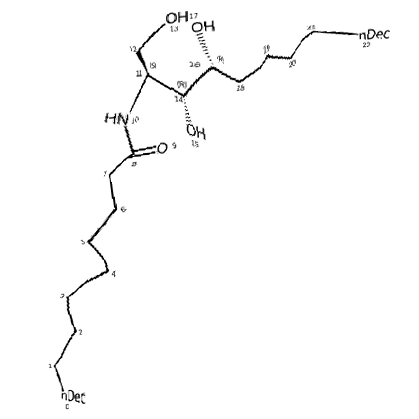 CCCCCCCCCCCCCCCCCC(=O)N[C@@H](CO)[C@@H](O)[C@H](O)CCCCCCCCCCCCCC